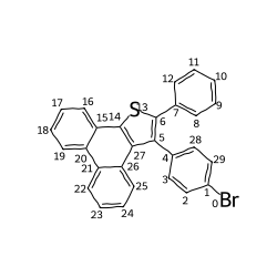 Brc1ccc(-c2c(-c3ccccc3)sc3c4ccccc4c4ccccc4c23)cc1